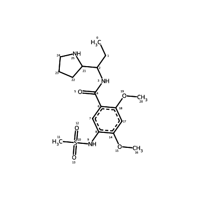 CCC(NC(=O)c1cc(NS(C)(=O)=O)c(OC)cc1OC)C1CCCN1